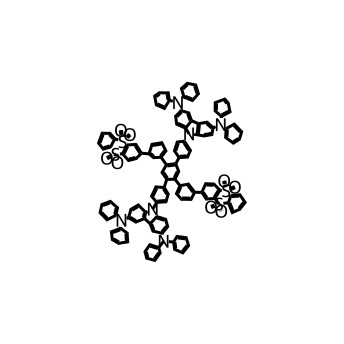 O=S1(=O)c2ccccc2S(=O)(=O)c2cc(-c3cccc(-c4cc(-c5ccc(-n6c7ccc(N(c8ccccc8)c8ccccc8)cc7c7cc(N(c8ccccc8)c8ccccc8)ccc76)cc5)c(-c5cccc(-c6ccc7c(c6)S(=O)(=O)c6ccccc6S7(=O)=O)c5)cc4-c4ccc(-n5c6ccc(N(c7ccccc7)c7ccccc7)cc6c6cc(N(c7ccccc7)c7ccccc7)ccc65)cc4)c3)ccc21